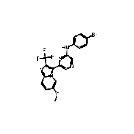 COc1ccc2nc(C(F)(F)F)c(-c3cncc(Nc4ccc(Br)cc4)n3)n2c1